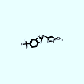 Cn1cc(Nc2nc3cc(C(F)(F)F)ccc3o2)nn1